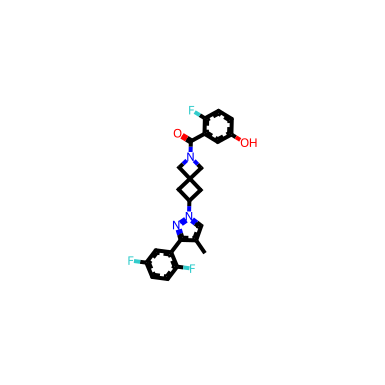 Cc1cn(C2CC3(C2)CN(C(=O)c2cc(O)ccc2F)C3)nc1-c1cc(F)ccc1F